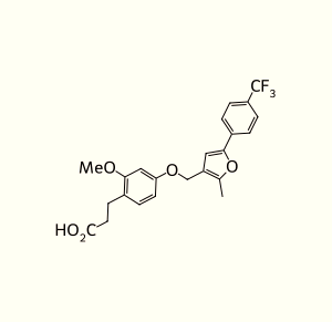 COc1cc(OCc2cc(-c3ccc(C(F)(F)F)cc3)oc2C)ccc1CCC(=O)O